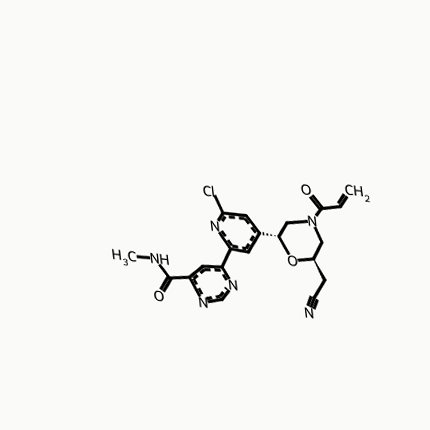 C=CC(=O)N1C[C@@H](CC#N)O[C@H](c2cc(Cl)nc(-c3cc(C(=O)NC)ncn3)c2)C1